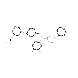 C#Cc1cccc(-c2ccc(CN(C(=O)CN(C)S(=O)(=O)c3ccc(C)cc3)c3ccc(C(=O)O)c(O)c3)cc2)c1